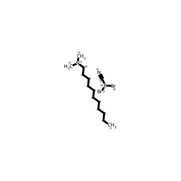 CCCCCCCCCCCN(C)C.N#CB(Br)Br